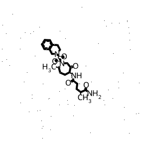 C[C@@H]1CC[C@H](NC(=O)[CH]C[C@H](C)C(N)=O)C(=O)CN1S(=O)(=O)N1CCc2ccccc2C1